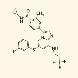 Cc1cc(-c2cnc3c(NCCC(F)(F)F)cc(Sc4cccc(F)c4)cn23)ccc1C(=O)NC1CC1